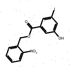 O=C(OCc1ccccc1[N+](=O)[O-])c1cc(O)cc(I)c1